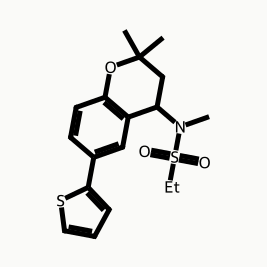 CCS(=O)(=O)N(C)C1CC(C)(C)Oc2ccc(-c3cccs3)cc21